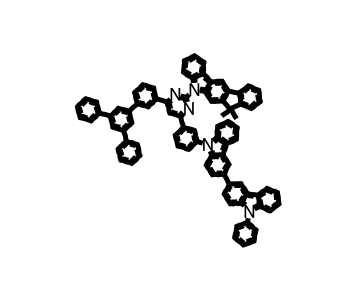 CC1(C)c2ccccc2-c2cc3c4ccccc4n(-c4nc(-c5cccc(-c6cc(-c7ccccc7)cc(-c7ccccc7)c6)c5)cc(-c5cccc(-n6c7ccccc7c7cc(-c8ccc9c(c8)c8ccccc8n9-c8ccccc8)ccc76)c5)n4)c3cc21